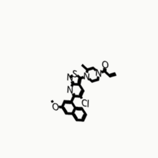 C=CC(=O)N1CCN(c2snc3nc(-c4cc(OC)cc5ccccc45)c(Cl)cc23)C(C)C1